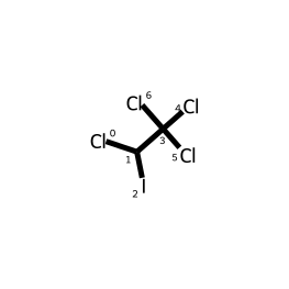 ClC(I)C(Cl)(Cl)Cl